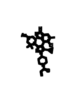 C=CC(=O)N1CCC(n2nc(N3CCN(C(C)=O)CC3(C)C)c(-c3c(Cl)c(C)cc4[nH]ncc34)c2C2CC2)CC1